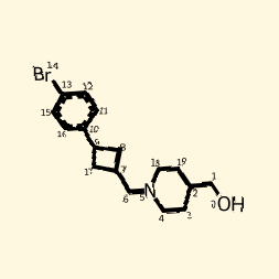 OCC1CCN(CC2CC(c3ccc(Br)cc3)C2)CC1